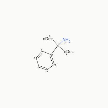 CCCCCCCCCCC(N)(CCCCCCCCCC)c1ccccc1